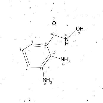 Nc1cccc(C(=O)NO)c1N